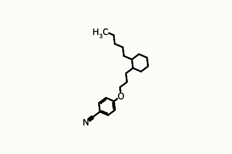 CCCCCC1CCCCC1CCCOc1ccc(C#N)cc1